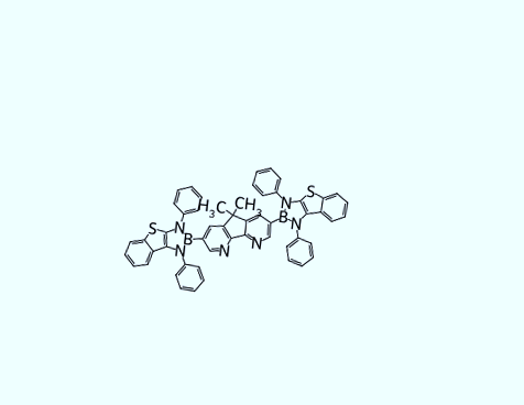 CC1(C)c2cc(B3N(c4ccccc4)c4sc5ccccc5c4N3c3ccccc3)cnc2-c2ncc(B3N(c4ccccc4)c4sc5ccccc5c4N3c3ccccc3)cc21